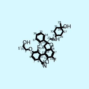 C[C@H](O)COc1ccc(C#N)c(-c2c(Cl)c(F)cc3c2[C@H](C)[C@@](CNC2CCC(C)(O)CC2)(c2ccccc2)O3)c1F